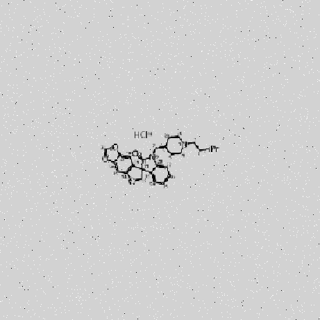 CC(C)CCN1CCC(CN2C(=O)C3(COc4cc5c(cc43)OCO5)c3ccccc32)CC1.Cl